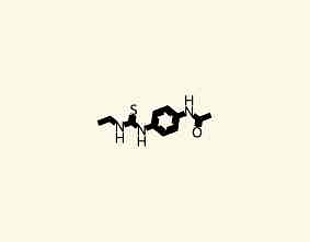 CCNC(=S)Nc1ccc(NC(C)=O)cc1